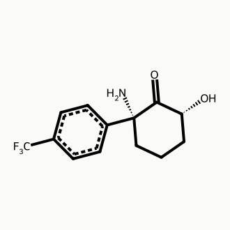 N[C@@]1(c2ccc(C(F)(F)F)cc2)CCC[C@@H](O)C1=O